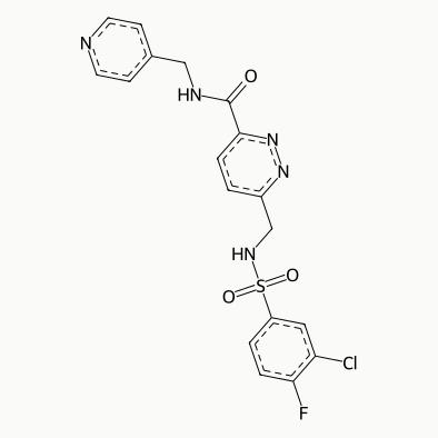 O=C(NCc1ccncc1)c1ccc(CNS(=O)(=O)c2ccc(F)c(Cl)c2)nn1